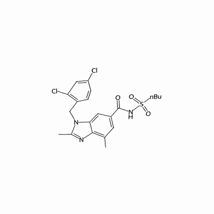 CCCCS(=O)(=O)NC(=O)c1cc(C)c2nc(C)n(Cc3ccc(Cl)cc3Cl)c2c1